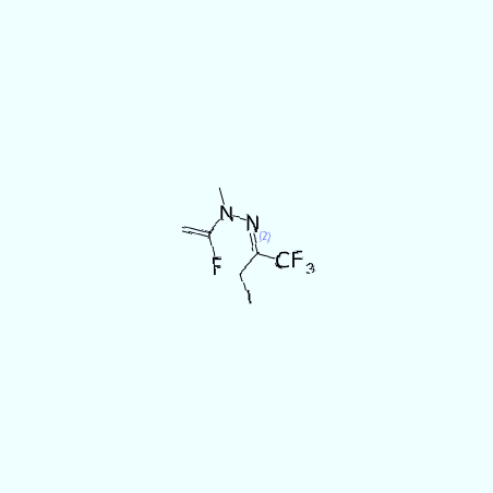 C=C(F)N(C)/N=C(\CI)C(F)(F)F